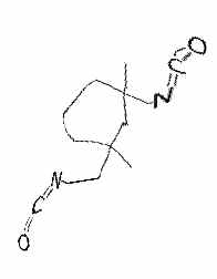 CC1(CN=C=O)CCCC(C)(N=C=O)C1